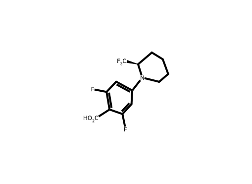 O=C(O)c1c(F)cc(N2CCCC[C@@H]2C(F)(F)F)cc1F